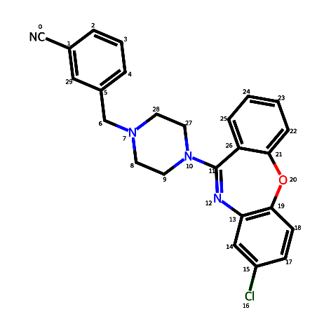 N#Cc1cccc(CN2CCN(C3=Nc4cc(Cl)ccc4Oc4ccccc43)CC2)c1